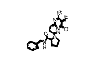 CCc1nc2ccc(N3CCCC3C(=O)NCc3ccccc3)nn2c(=O)c1F